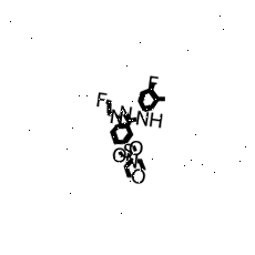 Cc1cc(Nc2nn(CCF)c3ccc(S(=O)(=O)N4CCOCC4)cc23)ccc1F